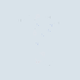 Cc1c(N2C(=O)CC(C)(C)C2=O)c(N2CCN(CC3COc4ccccc4O3)CC2)nn1C